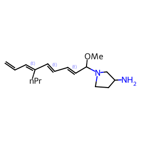 C=C/C=C(/C=C/C=C/C(OC)N1CCC(N)C1)CCC